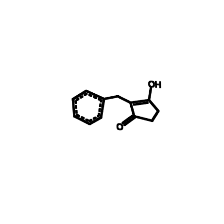 O=C1CCC(O)=C1Cc1ccccc1